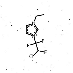 CCn1cc[n+](C(F)(F)C(F)Cl)c1